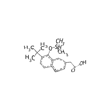 C[SiH](C)Oc1c(C(C)(C)C)ccc2ccc(CC(=O)O)cc12